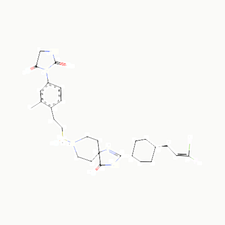 Cc1cc(N2C(=O)CNC2=O)ccc1CC[S@+]([O-])N1CCC2(CC1)N=C([C@H]1CC[C@H](CC=C(F)F)CC1)NC2=O